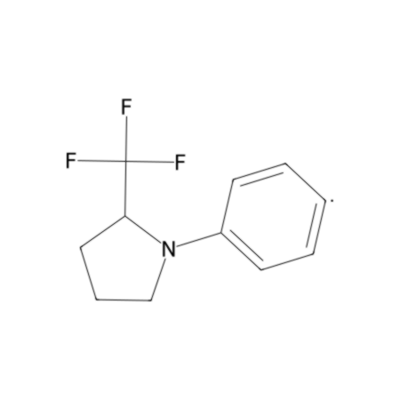 FC(F)(F)C1CCCN1c1cc[c]cc1